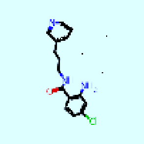 Nc1cc(Cl)ccc1C(=O)NCCCc1cccnc1